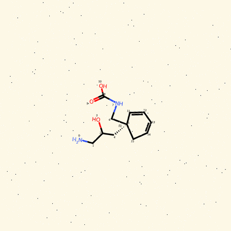 NCC(O)C[C@]1(CNC(=O)O)C=CC=CC1